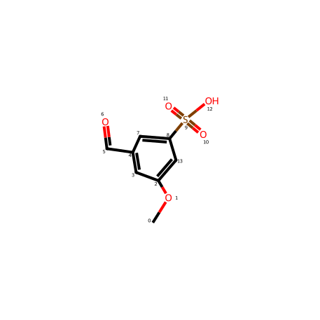 COc1cc(C=O)cc(S(=O)(=O)O)c1